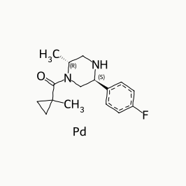 C[C@@H]1CN[C@@H](c2ccc(F)cc2)CN1C(=O)C1(C)CC1.[Pd]